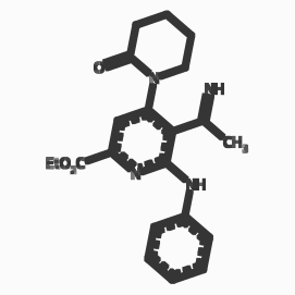 CCOC(=O)c1cc(N2CCCCC2=O)c(C(C)=N)c(Nc2ccccc2)n1